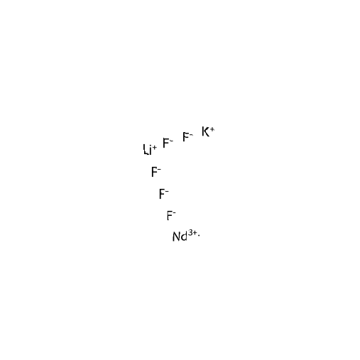 [F-].[F-].[F-].[F-].[F-].[K+].[Li+].[Nd+3]